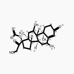 CCC(=O)O[C@]1(C(=O)CO)CC[C@H]2[C@@H]3CC(C)C4=CC(=O)CC[C@]4(C)[C@H]3C(O)C[C@@]21C